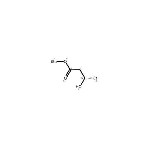 CC[C@H](O)CC(=O)OC(C)(C)C